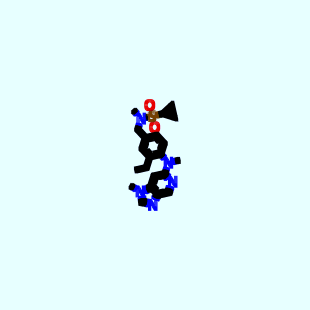 CCc1cc(CN(C)S(=O)(=O)C2CC2)ccc1N(C)c1cc2c(cn1)ncn2C